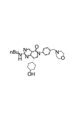 CCCCNc1ncc2c(=O)n(-c3ccc(CN4CCOCC4)cc3)cc([C@H]3CC[C@H](O)CC3)c2n1